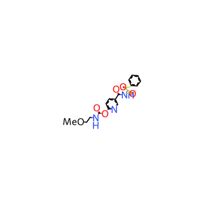 COCCNC(=O)Oc1ccc(C(=O)NS(=O)(=O)c2ccccc2)cn1